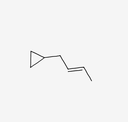 CC=CCC1CC1